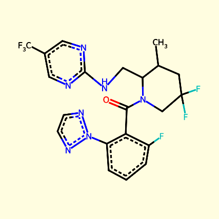 CC1CC(F)(F)CN(C(=O)c2c(F)cccc2-n2nccn2)C1CNc1ncc(C(F)(F)F)cn1